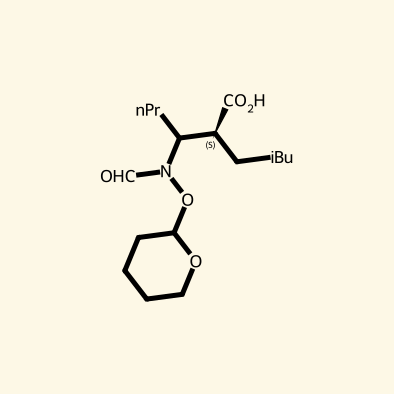 CCCC([C@H](CC(C)CC)C(=O)O)N(C=O)OC1CCCCO1